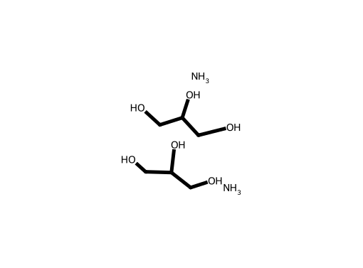 N.N.OCC(O)CO.OCC(O)CO